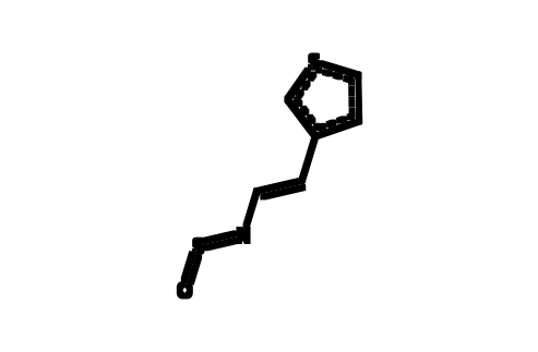 O=S=NC=Cc1ccsc1